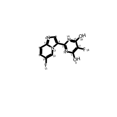 Oc1nc(-c2cnc3ccc(F)cn23)nc(O)c1F